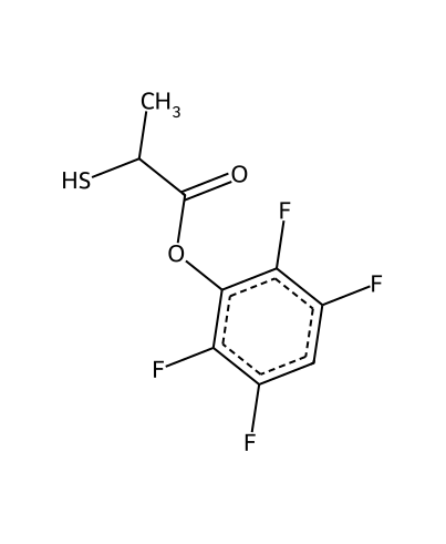 CC(S)C(=O)Oc1c(F)c(F)cc(F)c1F